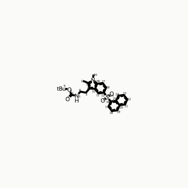 Cc1c(CCNC(=O)OC(C)(C)C)c2cc(S(=O)(=O)c3cccc4ccccc34)ccc2n1C